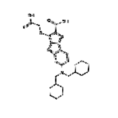 O=C(O)COc1c(C(=O)O)sc2c1sc1cc(N(CC3CCCCC3)CC3CCCCC3)ccc12